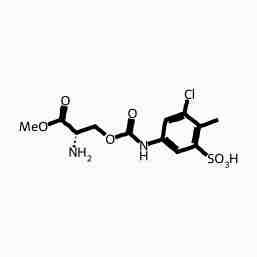 COC(=O)[C@@H](N)COC(=O)Nc1cc(Cl)c(C)c(S(=O)(=O)O)c1